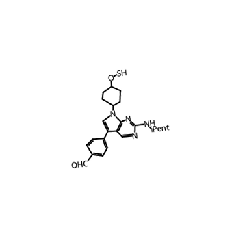 CCCC(C)Nc1ncc2c(-c3ccc(C=O)cc3)cn(C3CCC(OS)CC3)c2n1